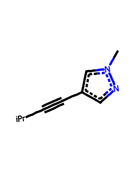 CC(C)C#Cc1cnn(C)c1